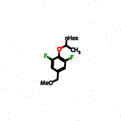 CCCCCCC(C)Oc1c(F)cc(COC)cc1F